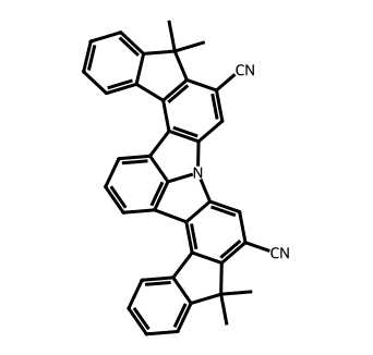 CC1(C)c2ccccc2-c2c1c(C#N)cc1c2c2cccc3c4c5c(c(C#N)cc4n1c23)C(C)(C)c1ccccc1-5